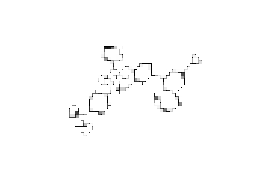 CS(=O)(=O)c1ccc(N(Cc2cccc(-c3cc(C4CC4)cc4cccnc34)c2)S(=O)(=O)c2cccs2)cc1